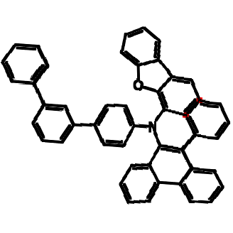 c1ccc(-c2cccc(-c3ccc(N(c4c(-c5ccccc5)c5ccccc5c5ccccc45)c4cccc5c4oc4ccccc45)cc3)c2)cc1